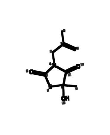 C=C(C)CN1C(=O)SC(C)(O)C1=O